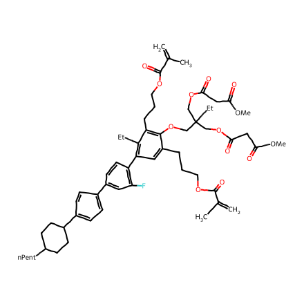 C=C(C)C(=O)OCCCc1cc(-c2ccc(-c3ccc(C4CCC(CCCCC)CC4)cc3)cc2F)c(CC)c(CCCOC(=O)C(=C)C)c1OCC(CC)(COC(=O)CC(=O)OC)COC(=O)CC(=O)OC